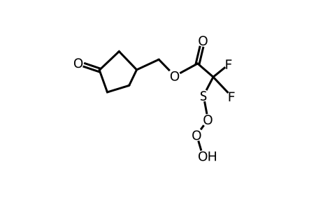 O=C1CCC(COC(=O)C(F)(F)SOOO)C1